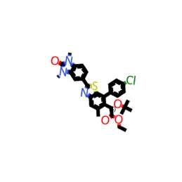 CCOC(=O)[C@@H](OC(C)(C)C)c1c(C)cc2nc(-c3ccc4c(c3)n(C)c(=O)n4C)sc2c1-c1ccc(Cl)cc1